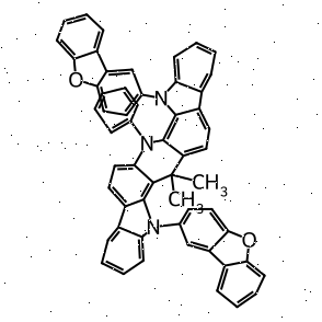 CC1(C)c2ccc3c4ccccc4n(-c4ccc5oc6ccccc6c5c4)c3c2N(c2ccccc2)c2ccc3c4ccccc4n(-c4ccc5oc6ccccc6c5c4)c3c21